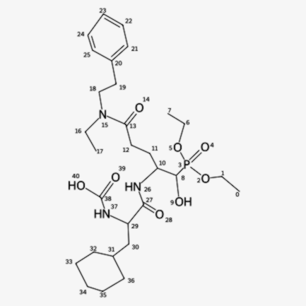 CCOP(=O)(OCC)C(O)C(CCC(=O)N(CC)CCc1ccccc1)NC(=O)C(CC1CCCCC1)NC(=O)O